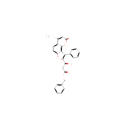 Cc1cc(=O)oc2c1ccc1oc(C(=O)CC(=O)OCc3ccccc3)c(-c3ccccc3)c12